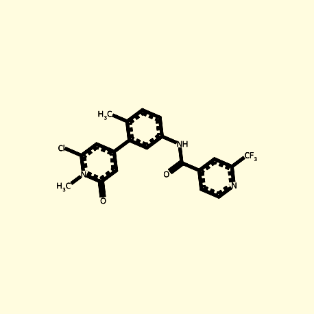 Cc1ccc(NC(=O)c2ccnc(C(F)(F)F)c2)cc1-c1cc(Cl)n(C)c(=O)c1